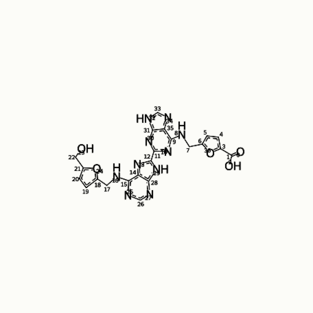 O=C(O)c1ccc(CNc2nc(-c3nc4c(NCc5ccc(CO)o5)ncnc4[nH]3)nc3[nH]cnc23)o1